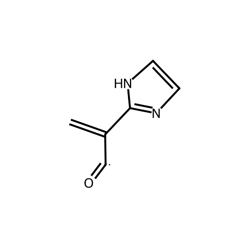 C=C([C]=O)c1ncc[nH]1